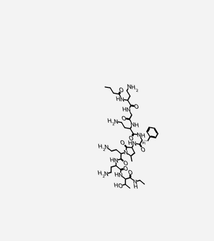 CCCC(=O)NC(CCN)C(=O)NCC(=O)NC(CCN)C(=O)N[C@H](Cc1ccccc1)C(=O)NC1CC(C)N(C(CCN)C(=O)NC(CCN)C(=O)NC(C(=O)NCC)C(C)O)C1=O